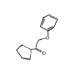 O=C(COc1ccccc1)C1CCCC1